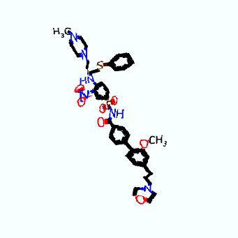 COc1cc(CCCN2CCOCC2)ccc1-c1ccc(C(=O)NS(=O)(=O)c2ccc(N[C@H](CCN3CCN(C)CC3)CSc3ccccc3)c([N+](=O)[O-])c2)cc1